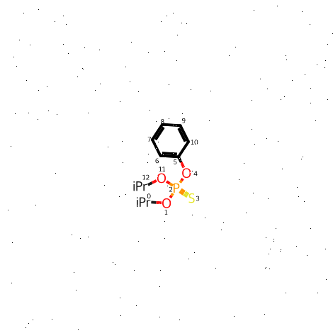 CC(C)OP(=S)(Oc1ccccc1)OC(C)C